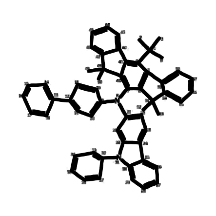 CC(C)(C)c1c2c(c(N(c3ccc(-c4ccccc4)cc3)c3ccc4c5ccccc5n(-c5ccccc5)c4c3)c3c1-c1ccccc1C3(C)C)C(C)(C)c1ccccc1-2